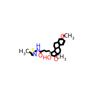 COc1ccc2c(c1)CCC1C2CC[C@]2(C)C(=O)C(O)[C@@H](CCCC(=O)Nc3ncc(C)s3)C12